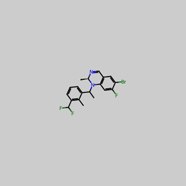 Cc1c(C(F)F)cccc1C(C)N1c2cc(F)c(Br)cc2C=N[C@@H]1C